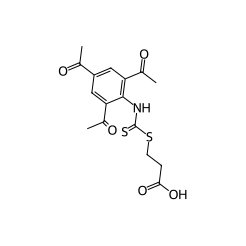 CC(=O)c1cc(C(C)=O)c(NC(=S)SCCC(=O)O)c(C(C)=O)c1